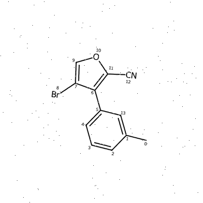 Cc1cccc(-c2c(Br)coc2C#N)c1